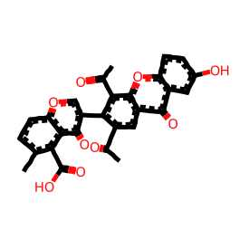 CC(=O)c1cc2c(=O)c3cc(O)ccc3oc2c(C(C)=O)c1-c1coc2ccc(C)c(C(=O)O)c2c1=O